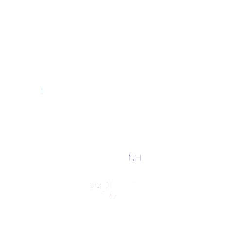 O=C(Nc1cc(-c2ccc(F)cc2F)ccc1C(=O)O)c1ccccc1